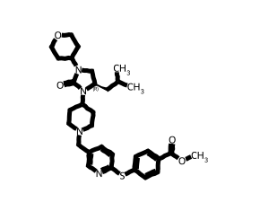 COC(=O)c1ccc(Sc2ccc(CN3CCC(N4C(=O)N(C5CCOCC5)C[C@H]4CC(C)C)CC3)cn2)cc1